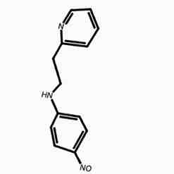 O=Nc1ccc(NCCc2ccccn2)cc1